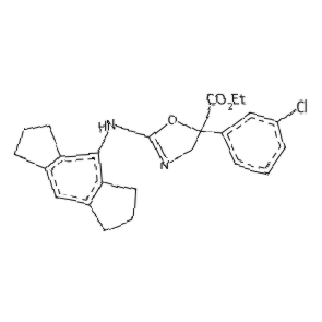 CCOC(=O)C1(c2cccc(Cl)c2)CN=C(Nc2c3c(cc4c2CCC4)CCC3)O1